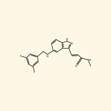 CNC(=O)/C=C/c1n[nH]c2ccc(NCc3cc(F)cc(F)c3)cc12